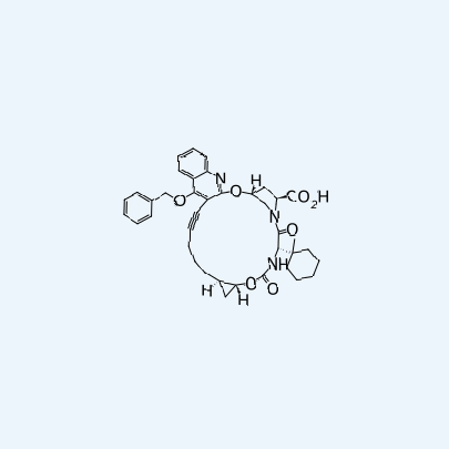 CC1([C@@H]2NC(=O)O[C@@H]3C[C@H]3CCCC#Cc3c(nc4ccccc4c3OCc3ccccc3)O[C@@H]3C[C@@H](C(=O)O)N(C3)C2=O)CCCCC1